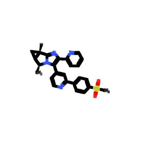 C[C@@H]1C2C[C@H]2c2nc(-c3ccccn3)c(-c3ccnc(-c4ccc(S(C)(=O)=O)cc4)c3)n21